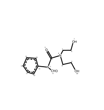 O=CN(C(=O)N(CCO)CCO)c1ccccc1